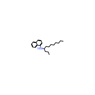 CCCCCCCCC(CCC)Nc1cccc2ccccc12